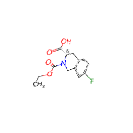 CCOC(=O)N1Cc2cc(F)ccc2C[C@H]1C(=O)O